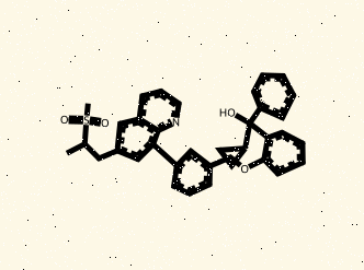 CC(Cc1cc(-c2cccc(COc3ccccc3C(O)(c3ccccc3)C3CC3)c2)c2ncccc2c1)S(C)(=O)=O